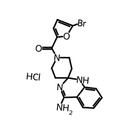 Cl.NC1=NC2(CCN(C(=O)c3ccc(Br)o3)CC2)Nc2ccccc21